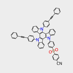 N#Cc1ccc(S(=O)(=O)c2ccc(-n3c4ccccc4c4c5c(c6ccccc6n5-c5ccc(C#Cc6ccccc6)cc5)c5c(c6ccccc6n5-c5ccc(C#Cc6ccccc6)cc5)c43)cc2)cc1